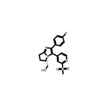 CS(=O)(=O)c1cc(-c2c(-c3ccc(F)cc3)nc3n2[C@H](CO)CC3)ccn1